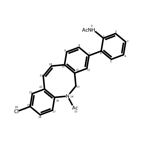 CC(=O)Nc1ccccc1-c1ccc2c(c1)CN(C(C)=O)c1ccc(Cl)cc1/C=C\2